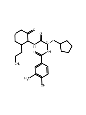 CCCC1COCC(=O)C1NC(=O)[C@H](CC1CCCC1)NC(=O)c1ccc(O)c(C)c1